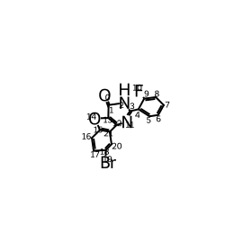 O=c1[nH]c(-c2ccccc2F)nc2c1oc1ccc(Br)cc12